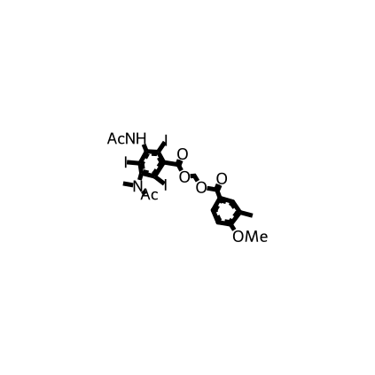 COc1ccc(C(=O)OCOC(=O)c2c(I)c(NC(C)=O)c(I)c(N(C)C(C)=O)c2I)cc1C